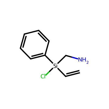 C=C[Si](Cl)(CN)c1ccccc1